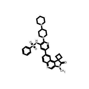 CN1C(=O)C2(CCC2)c2c1cnc1ccc(-c3cnc(N4CCC(N5CCCCC5)CC4)c(NS(=O)(=O)c4ccccc4)c3)cc21